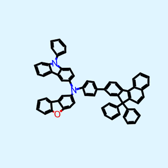 c1ccc(-n2c3ccccc3c3cc(N(c4ccc(-c5ccc6c(c5)C(c5ccccc5)(c5ccccc5)c5ccc7ccccc7c5-6)cc4)c4ccc5oc6ccccc6c5c4)ccc32)cc1